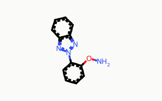 NOc1ccccc1-n1nc2ccccc2n1